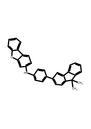 CC1(C)c2ccccc2-c2cc(-c3ccc(Nc4ccc5c(c4)oc4ccccc45)cc3)ccc21